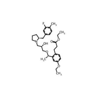 CCOC(=O)CCc1ccc(OCC)cc1[C@@H](C)OC[C@H](O)CN1CCC[C@H]1Cc1ccc(C)c(F)c1